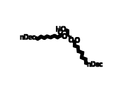 CCCCCCCCCCCCCCCCCC(=O)OC[C@H](CO)OC(=O)CCCCCCCCCCCCCCCCC